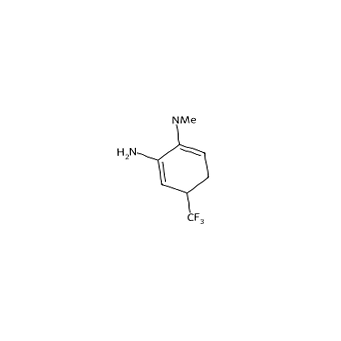 CNC1=CCC(C(F)(F)F)C=C1N